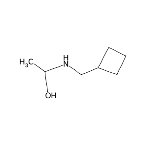 CC(O)NCC1CCC1